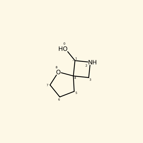 O[C]1NCC12CCCO2